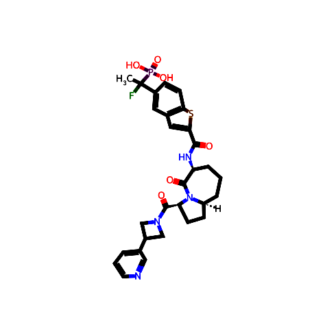 CC(F)(c1ccc2sc(C(=O)N[C@H]3CCC[C@H]4CC[C@@H](C(=O)N5CC(c6cccnc6)C5)N4C3=O)cc2c1)P(=O)(O)O